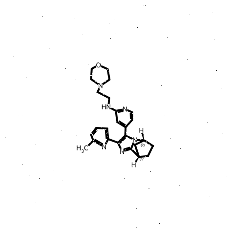 Cc1cccc(-c2nc3n(c2-c2ccnc(NCCN4CCOCC4)c2)[C@@H]2CC[C@H]3C2)n1